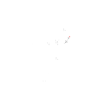 Cn1c2[n+](c3ncccc31)[N+]13c4c(cccc4-2)Oc2ccc4c(=O)c5cccc6c7ccc[n+]1c7n(c4c23)c56